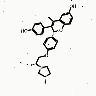 CC1=C(c2ccc(O)cc2)[C@@H](c2ccc(OC[C@H](C)N3CC[C@@H](C)C3)cc2)Oc2ccc(O)cc21